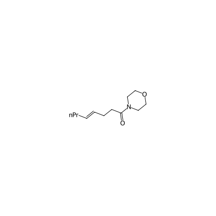 CCCC=CCCC(=O)N1CCOCC1